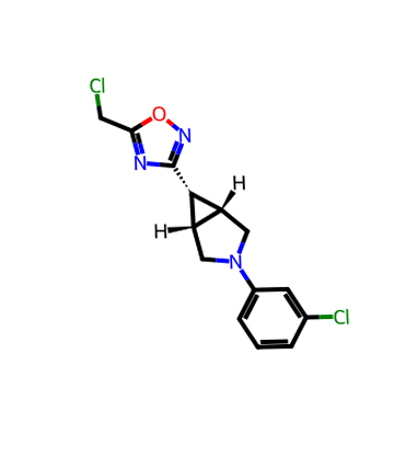 ClCc1nc([C@@H]2[C@@H]3CN(c4cccc(Cl)c4)C[C@@H]32)no1